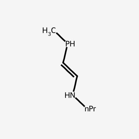 CCCNC=CPC